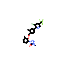 Cc1cc(-c2ncc(C(F)(F)F)cc2Cl)ccc1COc1c(C)cccc1-n1nnn(C)c1=O